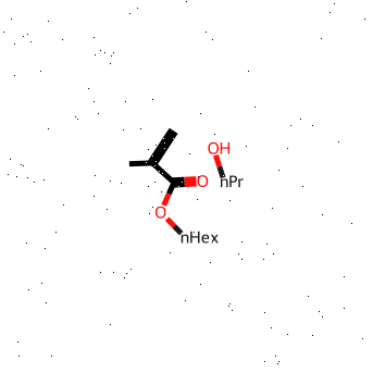 C=C(C)C(=O)OCCCCCC.CCCO